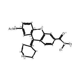 CCN(CC)C(=O)c1ccc2c(c1)Oc1ccc(NC(C)=O)cc1C2=C1CCNCC1